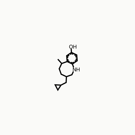 CC1CCC(CC2CC2)CNc2ccc(O)cc21